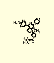 CC(C)C(=O)N1CC[C@@](C)(N2CCc3c(-c4cnc(N)nc4)nc(N4CCOCC4)nc32)C1